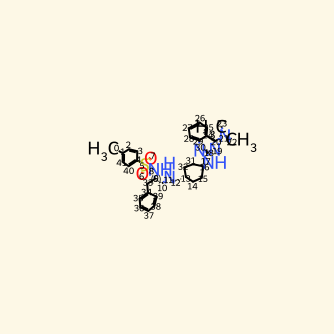 Cc1ccc(S(=O)(=O)N[C@H](CNC[C@H]2CC[C@@H](Nc3nc(N(C)C)c4ccccc4n3)CC2)Cc2ccccc2)cc1